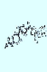 CC(C)(C)OC(=O)N[C@H]1CCN(C2CCC(OC(N)=O)CC2)C1